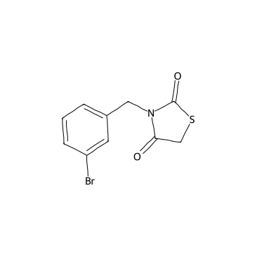 O=C1CSC(=O)N1Cc1cccc(Br)c1